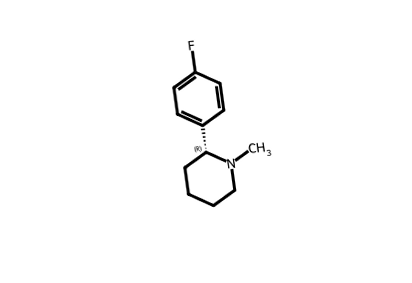 CN1CCCC[C@@H]1c1ccc(F)cc1